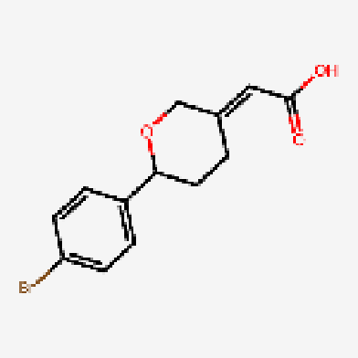 O=C(O)C=C1CCC(c2ccc(Br)cc2)OC1